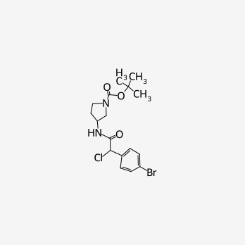 CC(C)(C)OC(=O)N1CCC(NC(=O)C(Cl)c2ccc(Br)cc2)C1